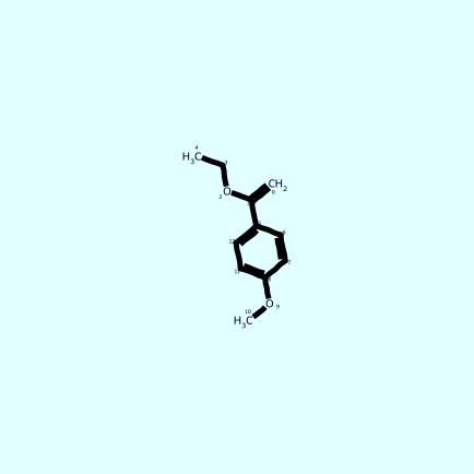 C=C(OCC)c1ccc(OC)cc1